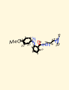 COc1ccc(Nc2ccccc2C(=O)NCCCN(C)C)cc1